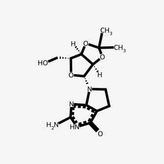 CC1(C)O[C@@H]2[C@H](O1)[C@@H](CO)O[C@H]2N1CCc2c1nc(N)[nH]c2=O